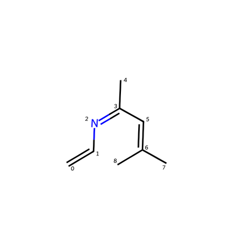 C=C/N=C(/C)C=C(C)C